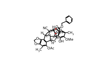 COc1c(C)cc2c(c1O)[C@@H]1C3[C@@H]4SCC(NC(=O)OCc5ccccc5)C(=O)OC[C@@H](c5c6c(c(C)c(OC(C)=O)c54)OCO6)N3C(C#N)[C@H](C2)N1C